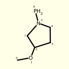 COC1CCN(P)C1